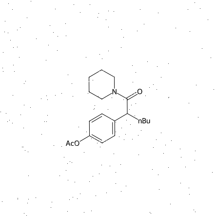 CCCCC(C(=O)N1CCCCC1)c1ccc(OC(C)=O)cc1